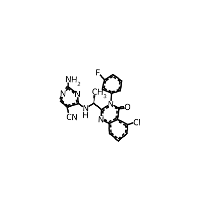 C[C@H](Nc1nc(N)ncc1C#N)c1nc2cccc(Cl)c2c(=O)n1-c1cccc(F)c1